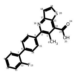 Cc1c(-c2ccc(-c3ccccc3F)cc2)nc2ccsc2c1C(=O)O